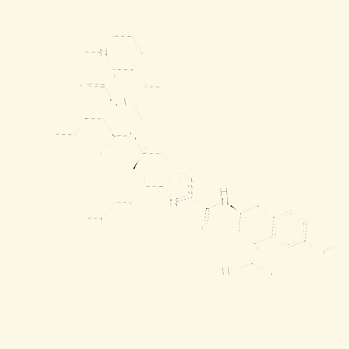 CC[C@H](C)[C@H](NC(=O)[C@H]1CCCCN1C)C(=O)N(CCOC)[C@H](C[C@@H](OCOC)c1nc(C(=O)N[C@H]2Cc3ccc(OC)cc3[C@H](C(=O)O)C2)cs1)C(C)C